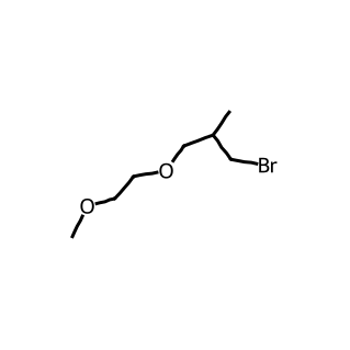 COCCOCC(C)CBr